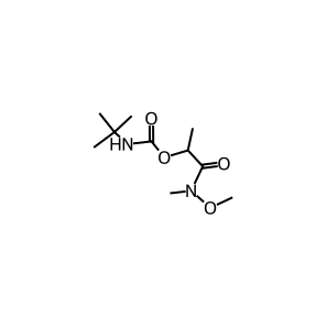 CON(C)C(=O)C(C)OC(=O)NC(C)(C)C